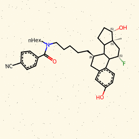 CCCCCCN(CCCCC[C@@H]1Cc2cc(O)ccc2C2C1C1CC[C@H](O)[C@@]1(C)C[C@@H]2F)C(=O)c1ccc(C#N)cc1